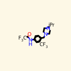 CC(C)N1CCN(Cc2ccc(NC(=O)C(F)(F)F)cc2C(F)(F)F)CC1